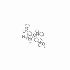 Cn1cncc1C(O)(c1ccc(C(=O)N2CCCCC2)cc1)c1ccc2c(c1)c(-c1cccc(Cl)c1)cc(=O)n2C